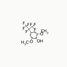 COc1cc(C(F)(C(F)(F)F)C(F)(F)F)cc(OC)c1O